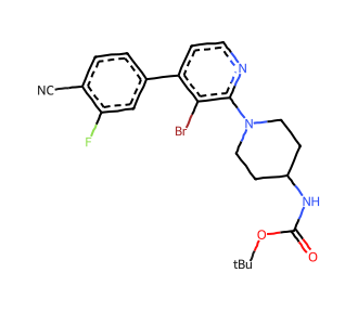 CC(C)(C)OC(=O)NC1CCN(c2nccc(-c3ccc(C#N)c(F)c3)c2Br)CC1